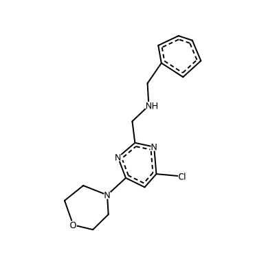 Clc1cc(N2CCOCC2)nc(CNCc2ccccc2)n1